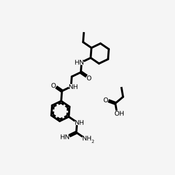 CCC(=O)O.CCC1CCCCC1NC(=O)CNC(=O)c1cccc(NC(=N)N)c1